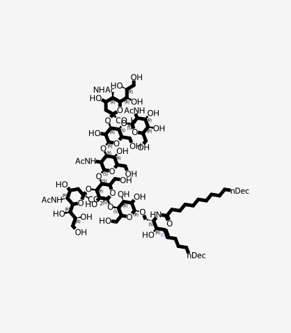 CCCCCCCCCCCCC/C=C/[C@@H](O)[C@H](CO[C@@H]1OC(CO)[C@@H](O[C@@H]2OC(CO)[C@H](O[C@@H]3OC(CO)[C@H](O)[C@H](O[C@@H]4OC(CO)[C@H](O[C@@H]5OC(CO)[C@H](O)[C@H](O)C5NC(C)=O)[C@H](O[C@]5(C(=O)O)CC(O)[C@@H](NC(C)=O)C([C@H](O)[C@H](O)CO)O5)C4O)C3NC(C)=O)[C@H](O[C@]3(C(=O)O)CC(O)[C@@H](NC(C)=O)C([C@H](O)[C@H](O)CO)O3)C2O)[C@H](O)C1O)NC(=O)CCCCCCCCCCCCCCCCCCC